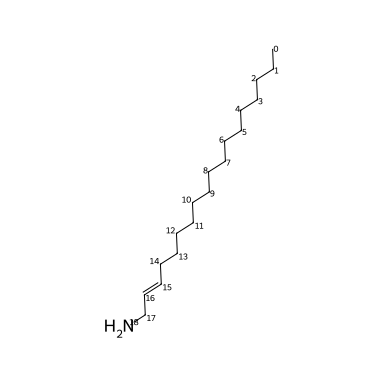 CCCCCCCCCCCCCCCC=CCN